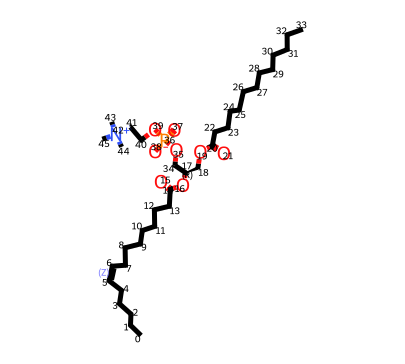 CCCCC/C=C\CCCCCCCC(=O)O[C@H](COC(=O)CCCCCCCCCCCC)COP(=O)([O-])OCC[N+](C)(C)C